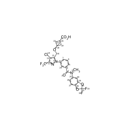 CN(C(=O)c1cccc(-n2nc(C(F)(F)F)c(Cl)c2COC23CC(C(=O)O)(C2)C3)c1)c1ccc2c(c1)OC(F)(F)O2